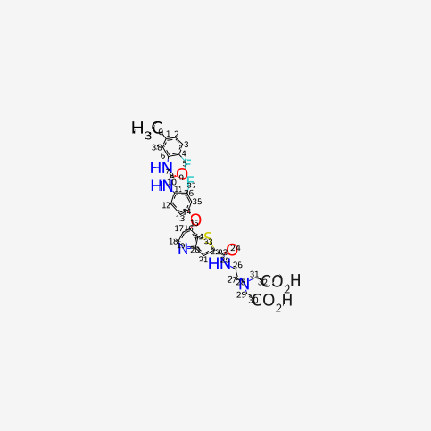 Cc1ccc(F)c(NC(=O)Nc2ccc(Oc3ccnc4cc(C(=O)NCCN(CC(=O)O)CC(=O)O)sc34)cc2F)c1